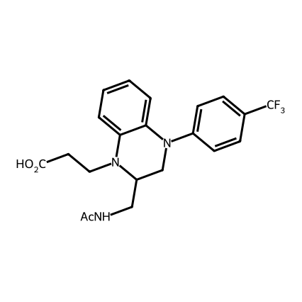 CC(=O)NCC1CN(c2ccc(C(F)(F)F)cc2)c2ccccc2N1CCC(=O)O